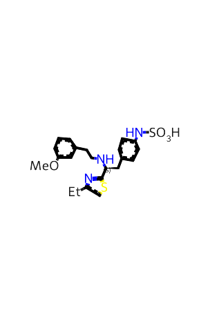 CCc1csc([C@H](Cc2ccc(NS(=O)(=O)O)cc2)NCCc2cccc(OC)c2)n1